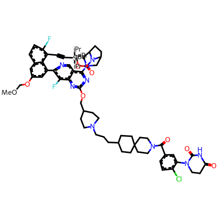 COCOc1cc(-c2ncc3c(N4CC5CCC(C4)N5C(=O)OC(C)(C)C)nc(OCC4CCN(CCCC5CCC6(CC5)CCN(C(=O)c5ccc(Cl)c(N7CCC(=O)NC7=O)c5)CC6)CC4)nc3c2F)c2c(C#C[Si](C(C)C)(C(C)C)C(C)C)c(F)ccc2c1